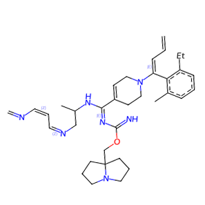 C=C/C=C(\c1c(C)cccc1CC)N1CC=C(/C(=N\C(=N)OCC23CCCN2CCC3)NC(C)C/N=C\C=C/N=C)CC1